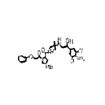 Br.CC(C)(CNC(=O)C1CCCN1C(=O)COc1ccccc1)NCC(O)c1cc(Cl)c(N)c(Cl)c1